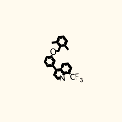 Cc1cccc(C)c1COc1cccc(-c2ccnc3c(C(F)(F)F)cccc23)c1